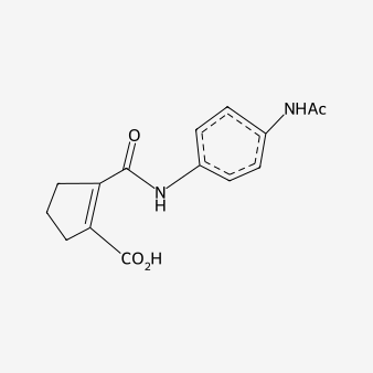 CC(=O)Nc1ccc(NC(=O)C2=C(C(=O)O)CCC2)cc1